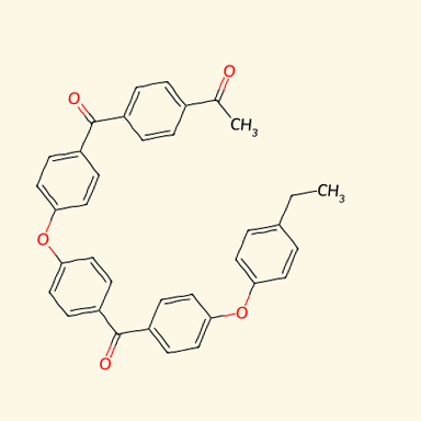 CCc1ccc(Oc2ccc(C(=O)c3ccc(Oc4ccc(C(=O)c5ccc(C(C)=O)cc5)cc4)cc3)cc2)cc1